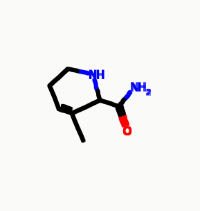 CC1=CCCNC1C(N)=O